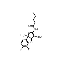 CC(=O)OC1=C(NC(=O)CCCBr)OC(C)(c2ccc(F)c(F)c2)C1=O